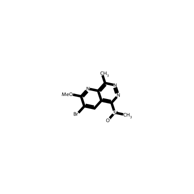 COc1nc2c(C)nnc([S+](C)[O-])c2cc1Br